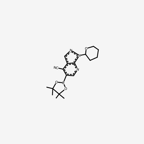 CC1(C)OB(c2cnc3c(cnn3C3CCCCO3)c2C#N)OC1(C)C